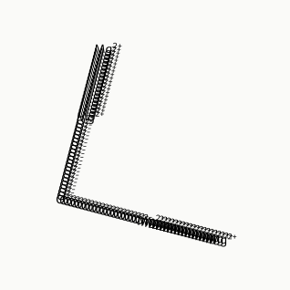 [Mg+2].[Mg+2].[Mg+2].[Mg+2].[Mg+2].[Mg+2].[Mg+2].[Mg+2].[Mg+2].[Mg+2].[Mg+2].[Mg+2].[Mg+2].[Mg+2].[Mg+2].[Mg+2].[Mg+2].[Mg+2].[Mg+2].[Mg+2].[Mg+2].[Mg+2].[Mg+2].[Mg+2].[Mg+2].[Mg+2].[Mg+2].[Mg+2].[Mg+2].[Mg+2].[Mg+2].[Mg+2].[Mg+2].[Mg+2].[Mg+2].[Mg+2].[Mg+2].[Mg+2].[Mg+2].[Mg+2].[Mg+2].[O-2].[O-2].[O-2].[O-2].[O-2].[O-2].[O-2].[O-2].[O-2].[O-2].[O-2].[O-2].[O-2].[O-2].[O-2].[O-2].[O-2].[O-2].[O-2].[O-2].[O-2].[O-2].[O-2].[O-2].[O-2].[O-2].[O-2].[O-2].[O-2].[O-2].[O-2].[O-2].[O-2].[O-2].[O-2].[O-2].[O-2].[O-2].[O-2].[O-2].[O-2].[O-2].[O-2].[O-2].[O-2]